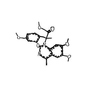 COC(=O)C(C)(c1ccc(OC)cc1)n1c(=O)nc(C)c2cc(OC)c(OC)cc21